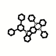 c1ccc(-c2cc(-c3ccccc3)cc(-n3c4ccccc4c4cc5c(cc43)N(c3ccccc3)c3ccccc3N5c3ccccc3)c2)cc1